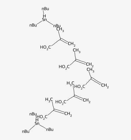 C=C(C)C(=O)O.C=C(C)C(=O)O.C=C(C)C(=O)O.C=C(C)C(=O)O.C=C(C)C(=O)O.CCC[CH2][SnH]([CH2]CCC)[CH2]CCC.CCC[CH2][SnH]([CH2]CCC)[CH2]CCC